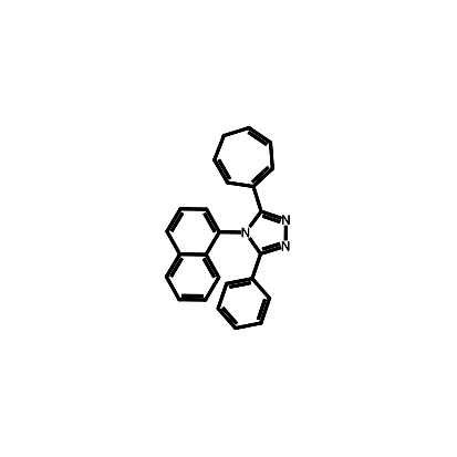 C1=CCC=CC(c2nnc(-c3ccccc3)n2-c2cccc3ccccc23)=C1